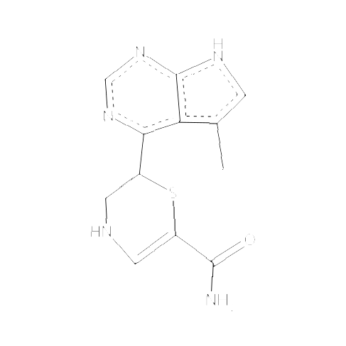 Cc1c[nH]c2ncnc(C3CNC=C(C(N)=O)S3)c12